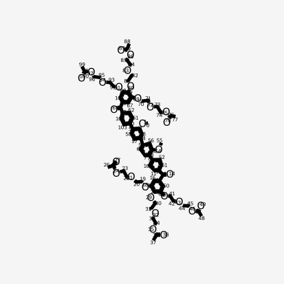 COc1cc(-c2ccc(-c3ccc(C(=O)c4cc(OCCOCCOC(C)=O)c(OCCOCCOC(C)=O)c(OCCOCCOC(C)=O)c4)cc3)c(OC)c2)ccc1-c1ccc(C(=O)c2cc(OCCOCCOC(C)=O)c(OCCOCCOC(C)=O)c(OCCOCCOC(C)=O)c2)cc1